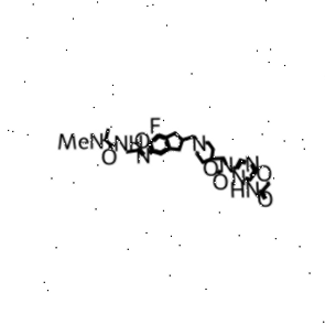 CN[C@H](C)C(=O)NCc1nc2cc3c(c(F)c2o1)CC(CN1CCC2(CC1)CN(c1cnc4c(n1)NC(=O)CO4)C(=O)O2)C3